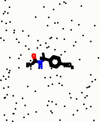 CC(C)C(=O)N[C@@H](C)c1ccc([N+](=O)[O-])cc1